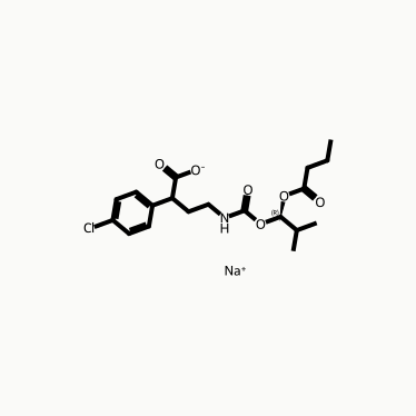 CCCC(=O)O[C@H](OC(=O)NCCC(C(=O)[O-])c1ccc(Cl)cc1)C(C)C.[Na+]